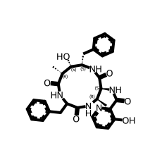 C[C@H]1NC(=O)C(Cc2ccccc2)NC(=O)[C@H](C)[C@H](O)[C@H](Cc2ccccc2)NC(=O)[C@H]1NC(=O)c1ncccc1O